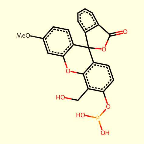 COc1ccc2c(c1)Oc1c(ccc(OP(O)O)c1CO)C21OC(=O)c2ccccc21